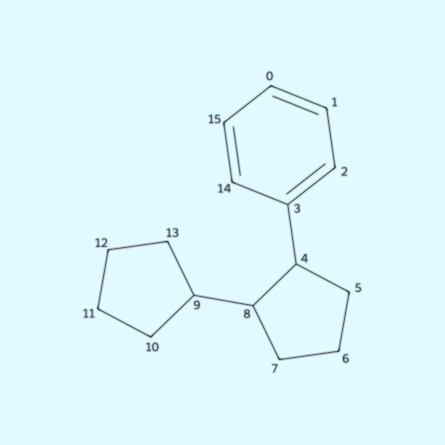 c1ccc(C2CCCC2C2CCCC2)cc1